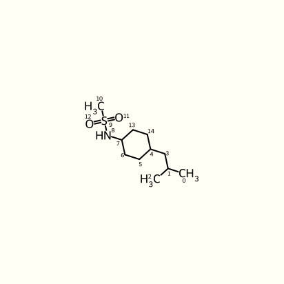 CC(C)CC1CCC(NS(C)(=O)=O)CC1